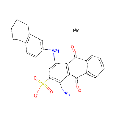 Nc1c(S(=O)(=O)[O-])cc(Nc2ccc3c(c2)CCCC3)c2c1C(=O)c1ccccc1C2=O.[Na+]